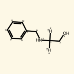 [2H]C([2H])(CO)NCc1ccccc1